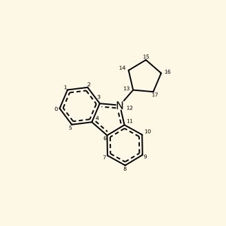 c1ccc2c(c1)c1ccccc1n2C1CCCC1